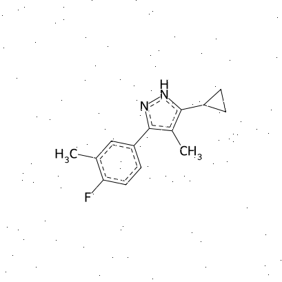 Cc1cc(-c2n[nH]c(C3CC3)c2C)ccc1F